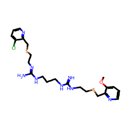 COc1cccnc1CSCCNC(=N)NCCCNC(N)=NCCSCc1ncccc1Cl